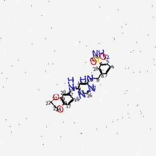 NS(=O)(=O)c1cccc(CNc2cc(Nc3ccc4c(c3)OCCO4)ncn2)c1